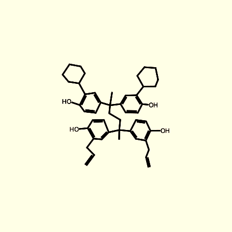 C=CCc1cc(C(C)(CCC(C)(c2ccc(O)c(C3CCCCC3)c2)c2ccc(O)c(C3CCCCC3)c2)c2ccc(O)c(CC=C)c2)ccc1O